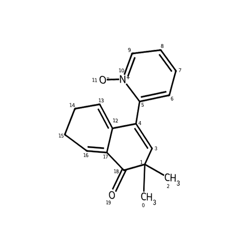 CC1(C)C=C(c2cccc[n+]2[O-])C2=CCCC=C2C1=O